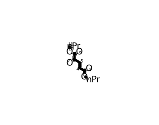 CCCOC(=O)/C=C/C(=O)C(=O)OCCC